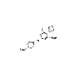 COc1ccc(COc2cc(OC)c(-n3cccn3)c(Cl)c2F)cc1